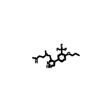 CCCOc1ccc(-c2c[nH]nc2CN(C)CCNC)cc1C(F)(F)F